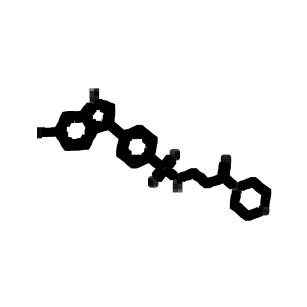 O=C(CCNS(=O)(=O)c1ccc(-c2c[nH]c3cc(F)ccc23)cc1)N1CCOCC1